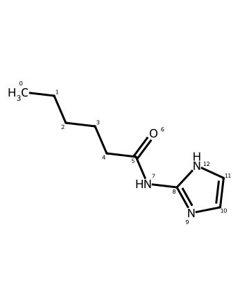 CCCCCC(=O)Nc1ncc[nH]1